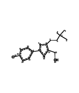 CC(C)(C)CCc1sc(-c2ccc(Cl)cc2)nc1CO